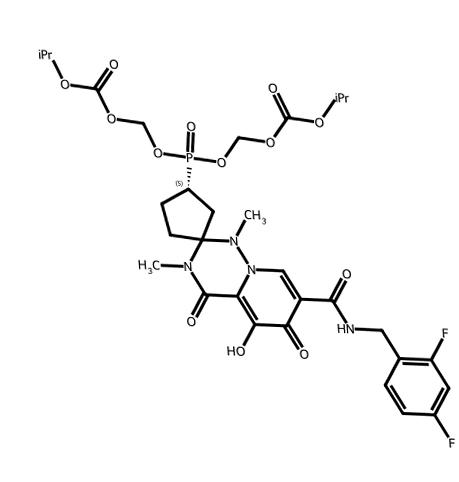 CC(C)OC(=O)OCOP(=O)(OCOC(=O)OC(C)C)[C@H]1CCC2(C1)N(C)C(=O)c1c(O)c(=O)c(C(=O)NCc3ccc(F)cc3F)cn1N2C